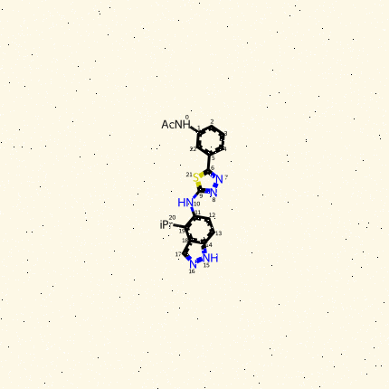 CC(=O)Nc1cccc(-c2nnc(Nc3ccc4[nH]ncc4c3C(C)C)s2)c1